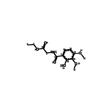 CCOC(=O)CNC(=O)c1ccc(OC)c(OC)c1O